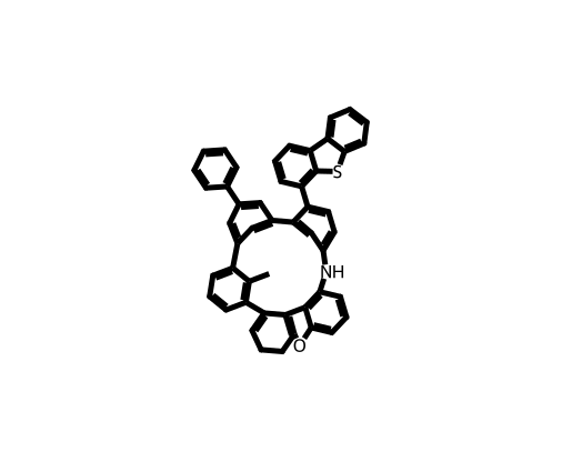 Cc1c2cccc1-c1cc(-c3ccccc3)cc(c1)-c1cc(ccc1-c1cccc3c1sc1ccccc13)Nc1cccc3oc4c(c13)C2=CCC4